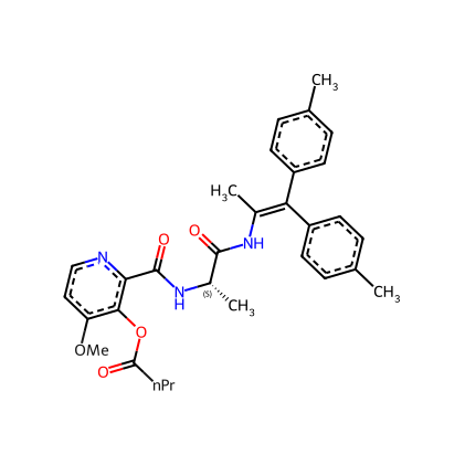 CCCC(=O)Oc1c(OC)ccnc1C(=O)N[C@@H](C)C(=O)NC(C)=C(c1ccc(C)cc1)c1ccc(C)cc1